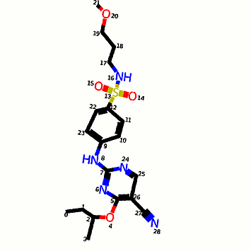 CCC(C)Oc1nc(Nc2ccc(S(=O)(=O)NCCCOC)cc2)ncc1C#N